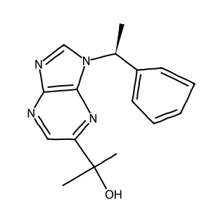 C[C@@H](c1ccccc1)n1cnc2ncc(C(C)(C)O)nc21